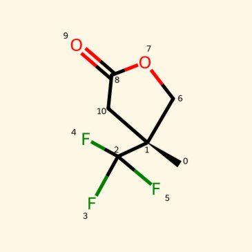 C[C@]1(C(F)(F)F)COC(=O)C1